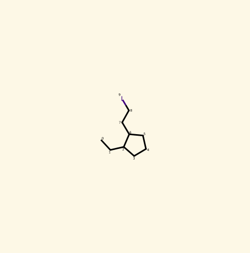 CCC1CCCC1CCI